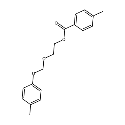 Cc1ccc(OCOCCOC(=O)c2ccc(C)cc2)cc1